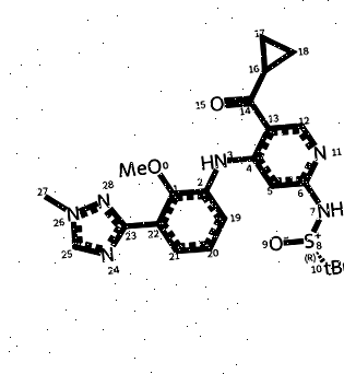 COc1c(Nc2cc(N[S@@+]([O-])C(C)(C)C)ncc2C(=O)C2CC2)cccc1-c1ncn(C)n1